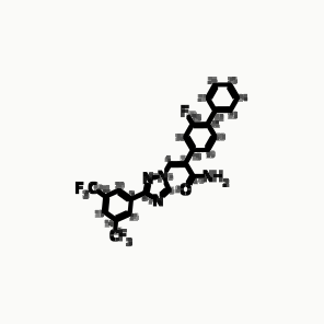 NC(=O)/C(=C\n1cnc(-c2cc(C(F)(F)F)cc(C(F)(F)F)c2)n1)c1ccc(-c2ccccc2)c(F)c1